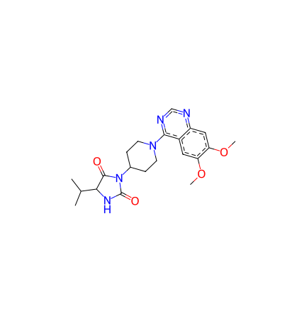 COc1cc2ncnc(N3CCC(N4C(=O)NC(C(C)C)C4=O)CC3)c2cc1OC